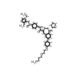 CCCCOCCOc1ccc(-c2ccc3c(c2)C=C(C(=O)Nc2ccc([S@+]([O-])Cc4c(C)ncn4CC)cc2)CCN3C[C@@H]2CCCO2)cc1